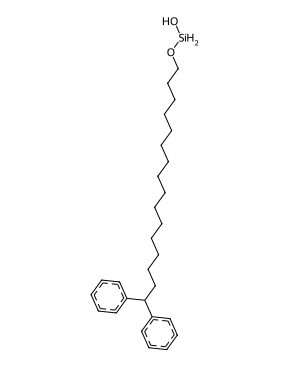 O[SiH2]OCCCCCCCCCCCCCCCC(c1ccccc1)c1ccccc1